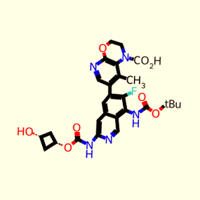 Cc1c(-c2cc3cc(NC(=O)O[C@H]4C[C@@H](O)C4)ncc3c(NC(=O)OC(C)(C)C)c2F)cnc2c1N(C(=O)O)CCO2